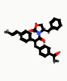 COC(=O)c1ccc(CC(C(=O)N2C(=O)OC[C@H]2Cc2ccccc2)c2ccc(C=CC(C)(C)C)cc2)cc1